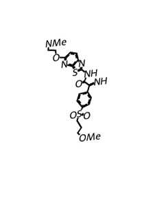 CNCCOc1ccc2nc(NC(=O)C(=N)c3ccc(S(=O)(=O)CCCOC)cc3)sc2n1